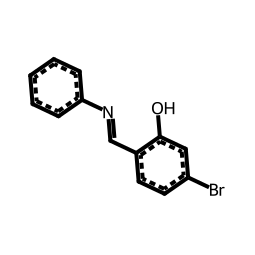 Oc1cc(Br)ccc1C=Nc1ccccc1